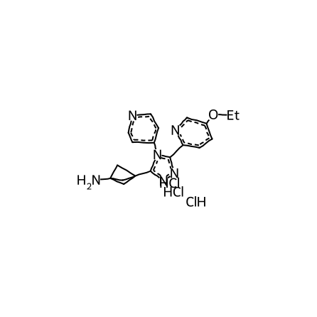 CCOc1ccc(-c2nnc(C34CC(N)(C3)C4)n2-c2ccncc2)nc1.Cl.Cl.Cl